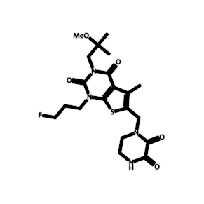 COC(C)(C)Cn1c(=O)c2c(C)c(CN3CCNC(=O)C3=O)sc2n(CCCF)c1=O